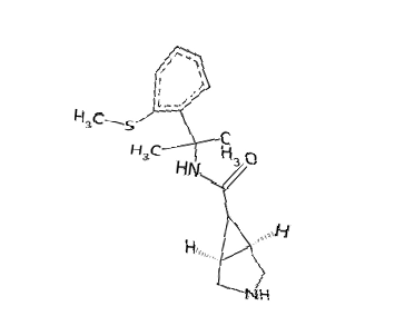 CSc1ccccc1C(C)(C)NC(=O)C1[C@H]2CNC[C@@H]12